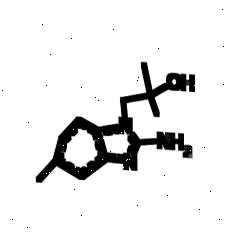 Cc1ccc2c(c1)nc(N)n2CC(C)(C)O